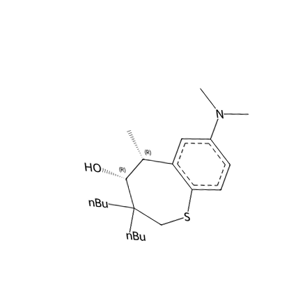 CCCCC1(CCCC)CSc2ccc(N(C)C)cc2[C@@H](C)[C@H]1O